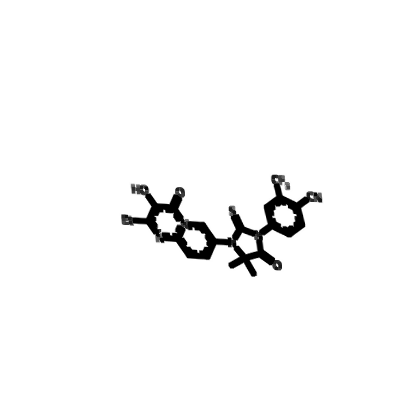 CCc1nc2ccc(N3C(=S)N(c4ccc(C#N)c(C(F)(F)F)c4)C(=O)C3(C)C)cn2c(=O)c1O